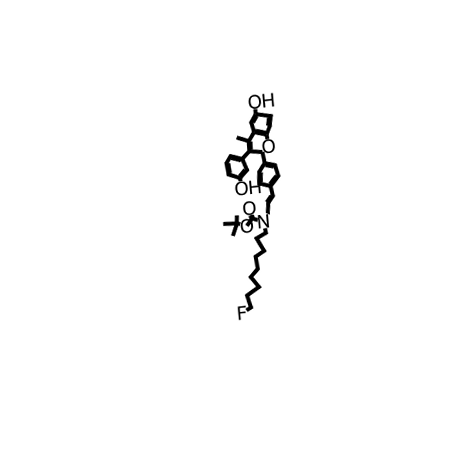 CC1=C(c2cccc(O)c2)C(c2ccc(C=CCN(CCCCCCCCCF)C(=O)OC(C)(C)C)cc2)Oc2ccc(O)cc21